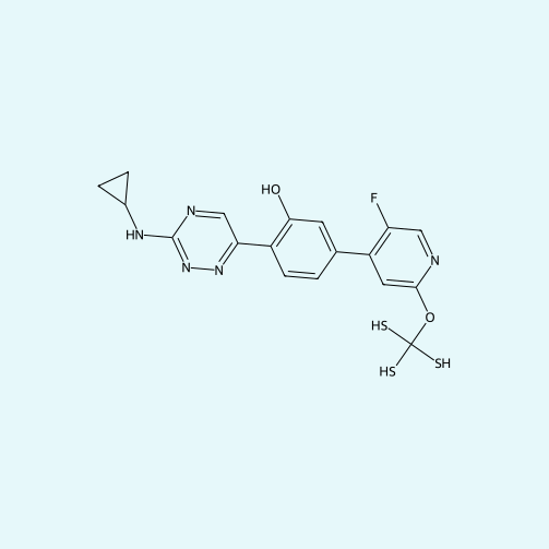 Oc1cc(-c2cc(OC(S)(S)S)ncc2F)ccc1-c1cnc(NC2CC2)nn1